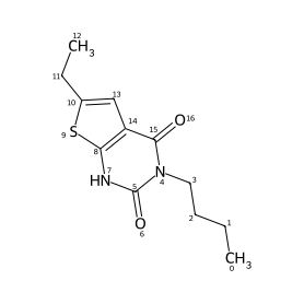 CCCCn1c(=O)[nH]c2sc(CC)cc2c1=O